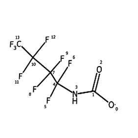 [O]C(=O)NC(F)(F)C(F)(F)C(F)(F)C(F)(F)F